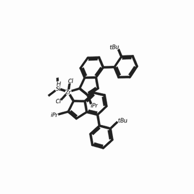 CC(C)C1=Cc2c(-c3ccccc3C(C)(C)C)cccc2[CH]1[Zr]([Cl])([Cl])([CH]1C(C(C)C)=Cc2c(-c3ccccc3C(C)(C)C)cccc21)[SiH](C)C